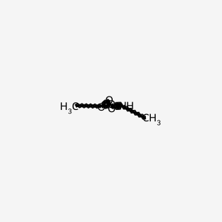 CCCCCCCCCCCCNc1ccc(C(=O)Oc2ccc(OCCCCCCCCCCCC)ccc2=O)cc1